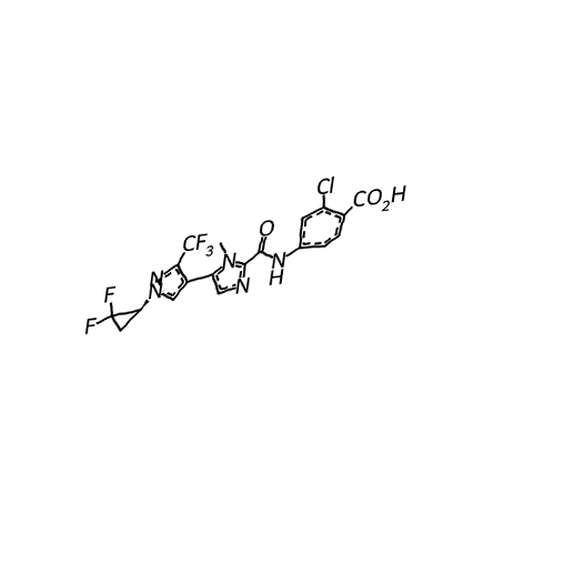 Cn1c(-c2cn([C@H]3CC3(F)F)nc2C(F)(F)F)cnc1C(=O)Nc1ccc(C(=O)O)c(Cl)c1